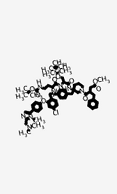 COC(=O)CC(Cc1ccccc1)C(=O)N1CCCC(Cc2ccc(Cl)cc2)(NC(=O)C(CO[Si](C)(C)C(C)(C)C)NC(=O)C(CCNC(=O)OC(C)(C)C)NCc2ccc(Cl)cc2Oc2ccc(-c3cnc(CN(C)C)n3C)cc2)C1